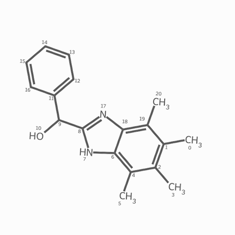 Cc1c(C)c(C)c2[nH]c(C(O)c3ccccc3)nc2c1C